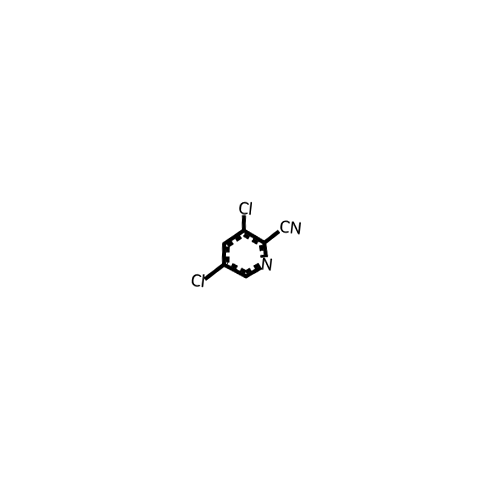 N#Cc1ncc(Cl)cc1Cl